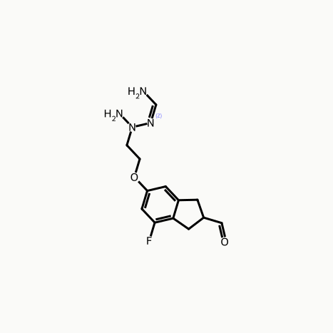 N/C=N\N(N)CCOc1cc(F)c2c(c1)CC(C=O)C2